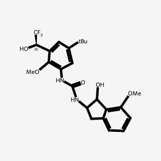 COc1cccc2c1C(O)C(NC(=O)Nc1cc(C(C)(C)C)cc([C@@H](O)C(F)(F)F)c1OC)C2